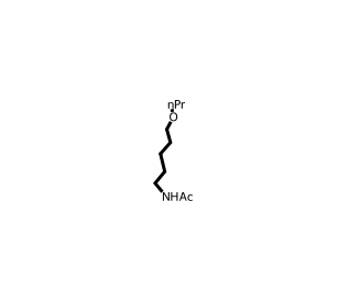 CCCOCCCCCNC(C)=O